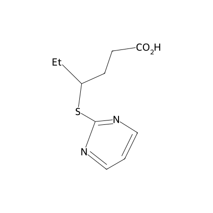 CCC(CCC(=O)O)Sc1ncccn1